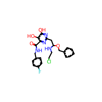 O=C(NCc1ccc(F)cc1)c1nc(CC(NCCCl)OCc2ccccc2)nc(O)c1O